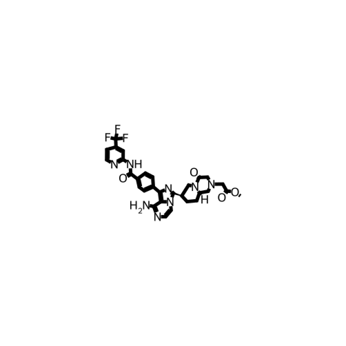 COC(=O)CN1CC(=O)N2C[C@H](c3nc(-c4ccc(C(=O)Nc5cc(C(F)(F)F)ccn5)cc4)c4c(N)nccn34)CC[C@H]2C1